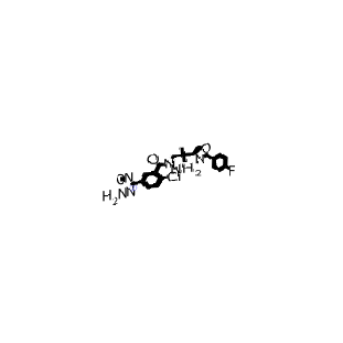 CC(C)(CN(N)C(=O)c1cc(/C(N=O)=N/N)ccc1Cl)c1coc(-c2ccc(F)cc2)n1